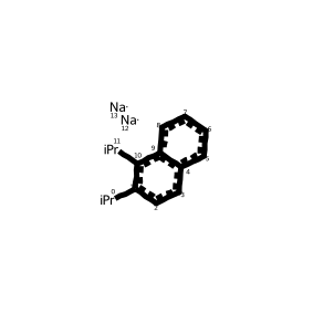 CC(C)c1ccc2ccccc2c1C(C)C.[Na].[Na]